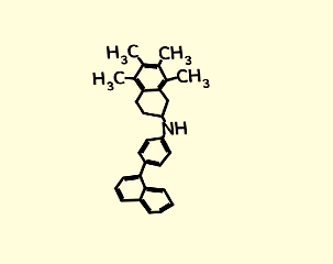 Cc1c(C)c(C)c2c(c1C)CCC(Nc1ccc(-c3cccc4ccccc34)cc1)C2